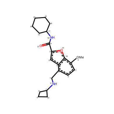 COc1ccc(CNC2CCC2)c2cc(C(=O)NC3CCCCC3)oc12